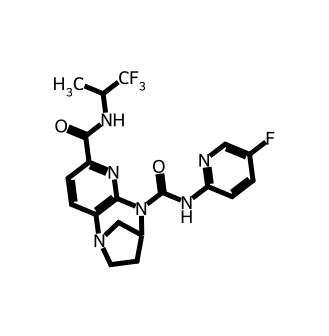 CC(NC(=O)c1ccc2c(n1)N(C(=O)Nc1ccc(F)cn1)C1CCN2C1)C(F)(F)F